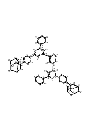 c1ccc(-c2nc(-c3ccc(C45CC6CC(CC(C6)C4)C5)cc3)nc(-c3cccc(-c4nc(-c5ccccc5)nc(-c5ccc(C67CC8CC(CC(C8)C6)C7)cc5)n4)c3)n2)cc1